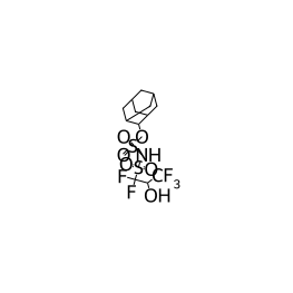 O=S(=O)(NS(=O)(=O)C(F)(F)C(O)C(F)(F)F)OC1C2CC3CC(C2)CC1C3